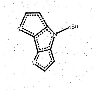 CC(C)(C)n1c2ccsc2c2sccc21